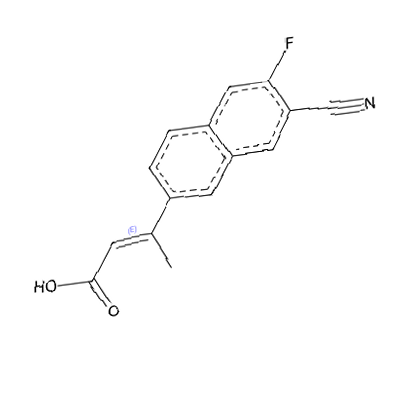 C/C(=C\C(=O)O)c1ccc2cc(F)c(C#N)cc2c1